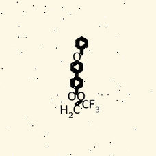 C=CC(OC(=O)c1ccc(-c2ccc(OCc3ccccc3)cc2)cc1)C(F)(F)F